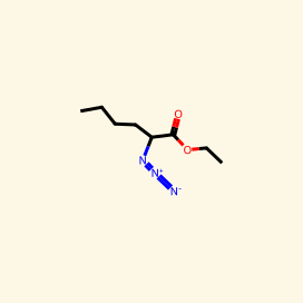 CCCCC(N=[N+]=[N-])C(=O)OCC